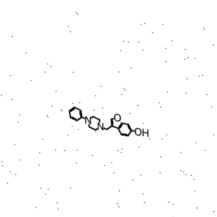 Oc1ccc2c(CN3CCN(c4ccccc4)CC3)coc2c1